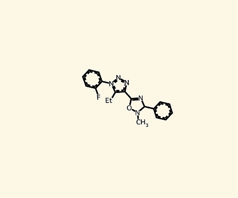 CCc1c(C2=NC(c3ccccc3)N(C)O2)nnn1-c1ccccc1F